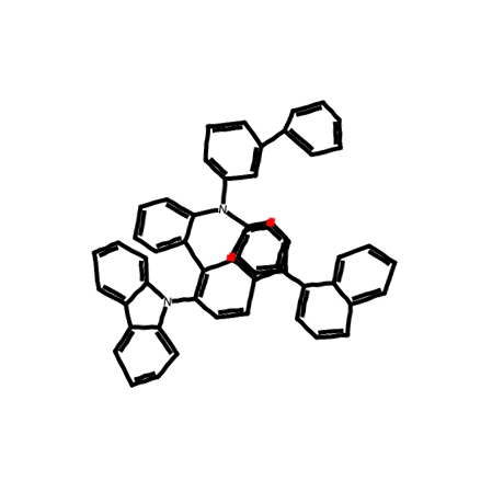 c1ccc(-c2cccc(N(c3ccc(-c4cccc5ccccc45)cc3)c3ccccc3-c3c(-n4c5ccccc5c5ccccc54)ccc4ccccc34)c2)cc1